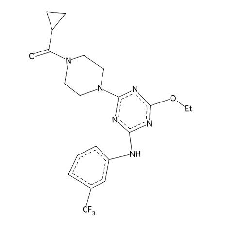 CCOc1nc(Nc2cccc(C(F)(F)F)c2)nc(N2CCN(C(=O)C3CC3)CC2)n1